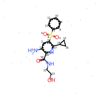 Nc1cc(S(=O)(=O)c2ccccc2)c(C2CC2)nc1C(=O)NCCO